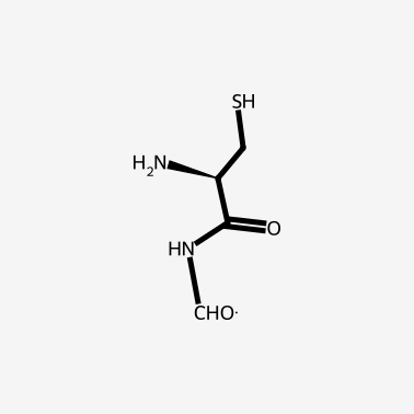 N[C@@H](CS)C(=O)N[C]=O